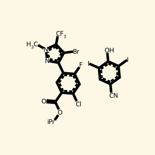 CC(C)OC(=O)c1cc(-c2nn(C)c(C(F)(F)F)c2Br)c(F)cc1Cl.N#Cc1cc(I)c(O)c(I)c1